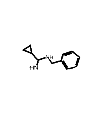 [NH]C(NCc1ccccc1)C1CC1